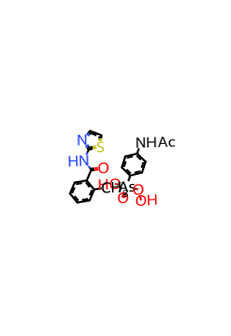 CC(=O)Nc1ccc([As](=O)(O)OO)cc1.Cc1ccccc1C(=O)Nc1nccs1